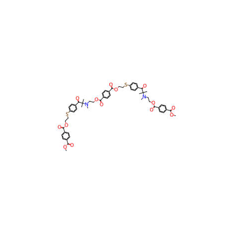 COC(=O)c1ccc(C(=O)OCCSc2ccc(C(=O)C(C)(C)N(C)CCOC(=O)c3ccc(C(=O)OCCSc4ccc(C(=O)C(C)(C)N(C)CCOC(=O)c5ccc(C(=O)OC)cc5)cc4)cc3)cc2)cc1